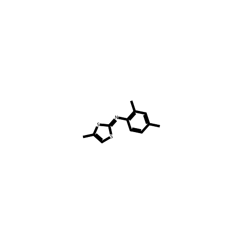 Cc1ccc(N=c2scc(C)s2)c(C)c1